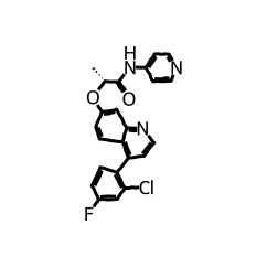 C[C@@H](Oc1ccc2c(-c3ccc(F)cc3Cl)ccnc2c1)C(=O)Nc1ccncc1